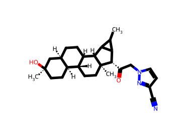 CC1C2C1[C@H]1[C@@H]3CC[C@@H]4C[C@](C)(O)CC[C@@H]4[C@H]3CC[C@]1(C)[C@H]2C(=O)Cn1ccc(C#N)n1